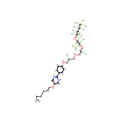 CCCCCCOc1cnc(-c2ccc(OCC(F)COCC(F)(F)OC(F)(F)C(F)(F)OC(F)(F)C(F)(F)C(F)(F)C(F)(F)F)cc2)nc1